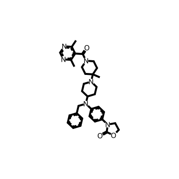 Cc1ncnc(C)c1C(=O)N1CCC(C)(N2CCC(N(Cc3ccccc3)c3ccc(N4CCOC4=O)cc3)CC2)CC1